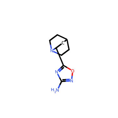 Nc1noc(C2CC3CCN2CC3)n1